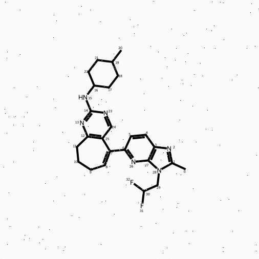 Cc1nc2ccc(C3=CCCCc4nc(NC5CCC(C)CC5)ncc43)nc2n1CC(F)F